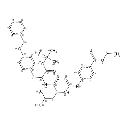 CCOC(=O)c1ccc(NC(=O)NC(CC(C)C)C(=O)NC(Cc2ccc(OCc3ccccc3)cc2)C(=O)OC(C)(C)C)cc1